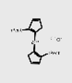 CCCCCC1=[C]([Zr+2][C]2=C(CCCCC)C=CC2)CC=C1.[Cl-].[Cl-]